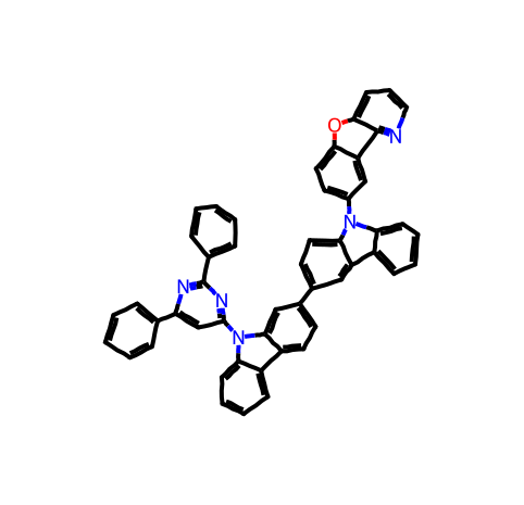 c1ccc(-c2cc(-n3c4ccccc4c4ccc(-c5ccc6c(c5)c5ccccc5n6-c5ccc6oc7cccnc7c6c5)cc43)nc(-c3ccccc3)n2)cc1